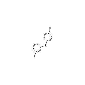 Fc1ccc(Sc2cccc(F)c2)cc1